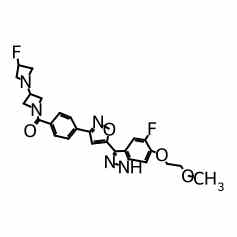 COCCOc1cc2[nH]nc(-c3cc(-c4ccc(C(=O)N5CC(N6CC(F)C6)C5)cc4)no3)c2cc1F